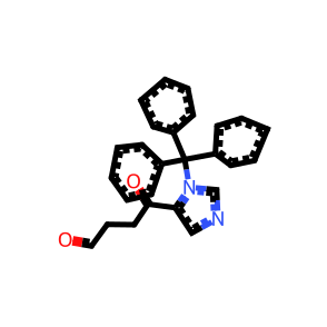 O=CCCC(=O)c1cncn1C(c1ccccc1)(c1ccccc1)c1ccccc1